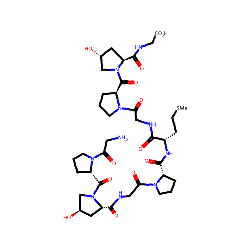 CSCC[C@H](NC(=O)[C@@H]1CCCN1C(=O)CNC(=O)[C@@H]1C[C@@H](O)CN1C(=O)[C@@H]1CCCN1C(=O)CN)C(=O)NCC(=O)N1CCC[C@H]1C(=O)N1C[C@H](O)C[C@H]1C(=O)NCC(=O)O